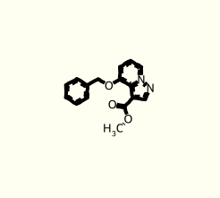 COC(=O)c1cnn2cccc(OCc3ccccc3)c12